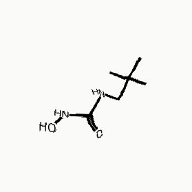 CC(C)(C)CNC(=O)NO